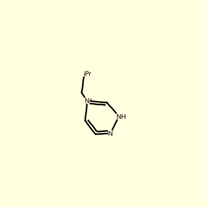 CC(C)C[N+]1=CNN=C=C1